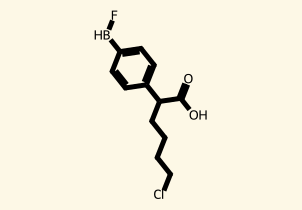 O=C(O)C(CCCCCl)c1ccc(BF)cc1